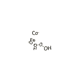 OOO.[Co].[Fe].[O]